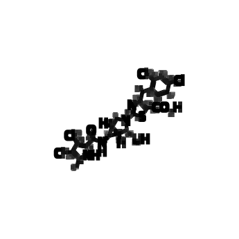 Cc1[nH]c(C(=O)N[C@H]2[C@@H]3CN(c4nc(Cc5ccc(Cl)cc5Cl)c(C(=O)O)s4)C[C@@H]32)c(Cl)c1Cl.[LiH]